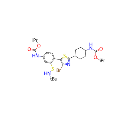 CC(C)OC(=O)Nc1ccc(-c2sc(C3CCC(NC(=O)OC(C)C)CC3)nc2Br)c(SNC(C)(C)C)c1